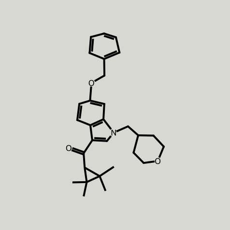 CC1(C)C(C(=O)c2cn(CC3CCOCC3)c3cc(OCc4ccccc4)ccc23)C1(C)C